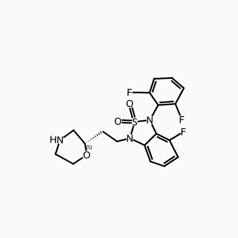 O=S1(=O)N(CC[C@H]2CNCCO2)c2cccc(F)c2N1c1c(F)cccc1F